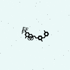 Cc1cccc(Cc2ccc(CCC(=O)CC3=CC(C(F)(F)F)=CC(C)C3=O)cc2C)c1